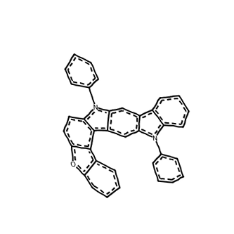 c1ccc(-n2c3ccccc3c3cc4c(cc32)c2c3c(ccc2n4-c2ccccc2)oc2ccccc23)cc1